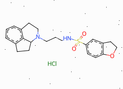 Cl.O=S(=O)(NCCCN1CCc2cccc3c2C1CC3)c1ccc2c(c1)CCO2